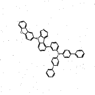 c1ccc(-c2ccc(N(c3ccc(-c4ccccc4)cc3)c3cccc(-c4cccc5c4c4ccccc4n5-c4ccc5oc6ccccc6c5c4)c3)cc2)cc1